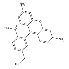 CCc1ccc(C(=O)O)c(C2=C3C=CC(N)C=C3Oc3cc(N)ccc32)c1